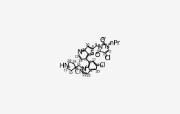 CCCn1cc(Cl)c(=O)n(Cc2cc3nccc(-c4cc(Cl)cc5ccn(CC6(C#N)CCNCC6)c45)c3s2)c1=O